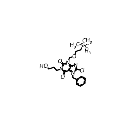 C[Si](C)(C)CCOCn1c(=O)n(CCCO)c(=O)c2c1nc(Cl)n2Cc1ccccc1